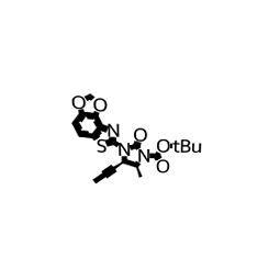 CC#C[C@@H]1[C@H](C)N(C(=O)OC(C)(C)C)C(=O)N1c1nc2c3c(ccc2s1)OCO3